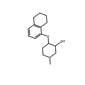 CN1CCC(Oc2cccc3c2CCCC3)C(O)C1